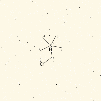 C[SH](C)(C)(C)CCl